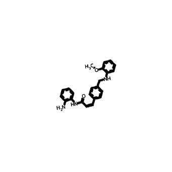 COc1ccccc1NCc1ccc(/C=C\C(=O)Nc2ccccc2N)cc1